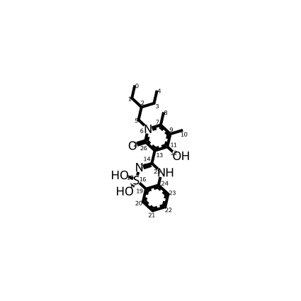 CCC(CC)Cn1c(C)c(C)c(O)c(C2=NS(O)(O)c3ccccc3N2)c1=O